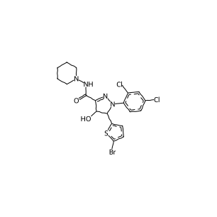 O=C(NN1CCCCC1)C1=NN(c2ccc(Cl)cc2Cl)C(c2ccc(Br)s2)C1O